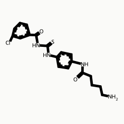 NCCCCC(=O)Nc1ccc(NC(=S)NC(=O)c2cccc(Cl)c2)cc1